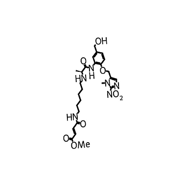 COC(=O)C=CC(=O)NCCCCCCN[C@@H](C)C(=O)Nc1cc(CO)ccc1OCc1cnc([N+](=O)[O-])n1C